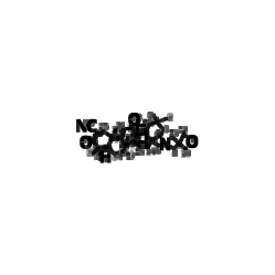 CC1(C)CC[C@]2(CN3CC4(COC4)C3)CC[C@]3(C)[C@H](C(=O)C=C4[C@@]5(C)C=C(C#N)C(=O)C(C)(C)[C@@H]5CC[C@]43C)[C@@H]2C1